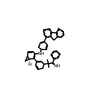 CC(C)(C(=N)c1ccccc1)C1C=C(C2=C(NC3C=CC(c4cccc5c4Cc4ccccc4-5)=CC3)C=CC3C[C@H]23)C=CC1